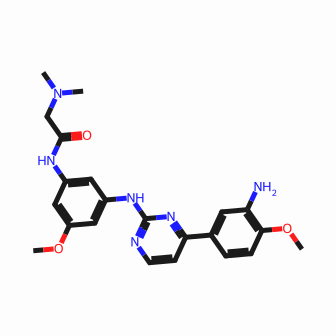 COc1cc(NC(=O)CN(C)C)cc(Nc2nccc(-c3ccc(OC)c(N)c3)n2)c1